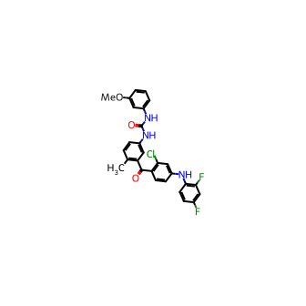 COc1cccc(NC(=O)Nc2ccc(C)c(C(=O)c3ccc(Nc4ccc(F)cc4F)cc3Cl)c2)c1